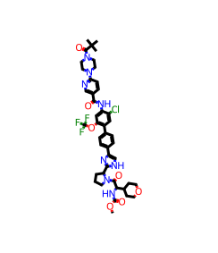 COC(=O)NC(C(=O)N1CCCC1c1nc(-c2ccc(-c3cc(Cl)c(NC(=O)c4ccc(N5CCN(C(=O)C(C)(C)C)CC5)nc4)cc3OC(F)(F)F)cc2)c[nH]1)C1CCOCC1